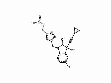 O=C1N(Cc2cn(CO[PH](=O)O)nn2)c2ccc(Cl)cc2C1(O)C#CC1CC1